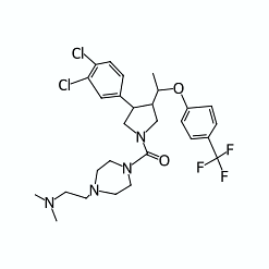 CC(Oc1ccc(C(F)(F)F)cc1)C1CN(C(=O)N2CCN(CCN(C)C)CC2)CC1c1ccc(Cl)c(Cl)c1